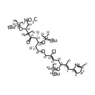 C/C(=C\c1csc(C)n1)C(C/C=C(\Cl)COC[C@H](C)[C@H](O[Si](C)(C)C(C)(C)C)[C@@H](C)C(=O)C(C)(C)[C@H](CC(=O)O)O[Si](C)(C)C(C)(C)C)O[Si](C)(C)C(C)(C)C